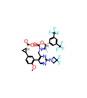 COc1ccc(C2C[C@@H]2C(=O)O)cc1-c1cnc(N2CC(F)(F)C2)nc1CN1C(=O)O[C@H](c2cc(C(F)(F)F)cc(C(F)(F)F)c2)[C@@H]1C